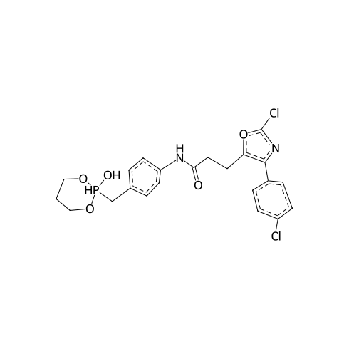 O=C(CCc1oc(Cl)nc1-c1ccc(Cl)cc1)Nc1ccc(C[PH]2(O)OCCCO2)cc1